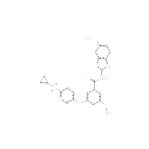 COc1ccc2nc(NC(=O)c3cc(Oc4ccc(S(=O)(=O)C5CC5)nc4)cc(OC(C)C)c3)sc2c1